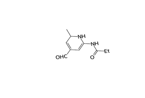 CCC(=O)NC1=CC(C=O)=CC(C)N1